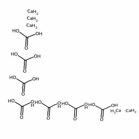 O=C(O)O.O=C(O)O.O=C(O)O.O=C(O)O.O=C(O)O.O=C(O)O.O=C(O)O.[CaH2].[CaH2].[CaH2].[CaH2].[CaH2]